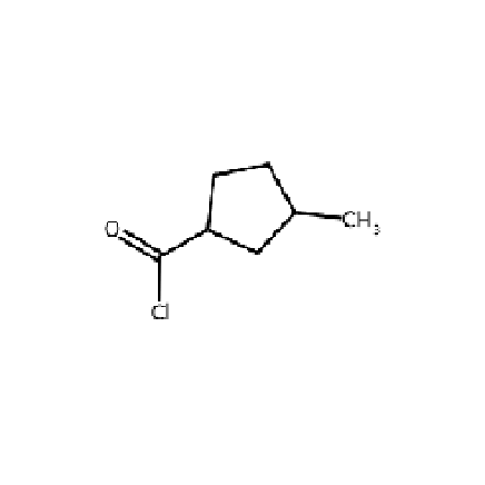 CC1CCC(C(=O)Cl)C1